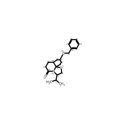 CC(C)C1COC23CCC(OCc4ccccc4)CC2CCC(=O)N13